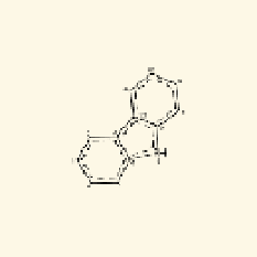 c1ccc2c(c1)[pH]c1ccccc12